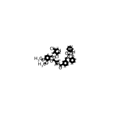 COc1ccc([C@H](Cc2c(Cl)cncc2Cl)OC(=O)C2CN(C(=O)c3cccc(CN(C(=O)O[C@H]4CN5CCC4CC5)c4ccccc4F)c3)C2)cc1OC